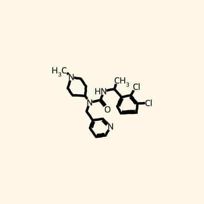 CC(NC(=O)N(Cc1cccnc1)C1CCN(C)CC1)c1cccc(Cl)c1Cl